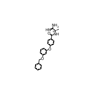 C[C@@H](NC(=O)c1ccc(Oc2cccc(OCc3ccccc3)c2)cc1)C(=N)N